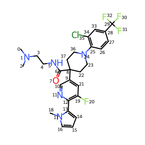 CN(C)CCNC(=O)C1(c2cnc(-c3cccn3C)c(F)c2)CCN(c2ccc(C(F)(F)F)cc2Cl)CC1